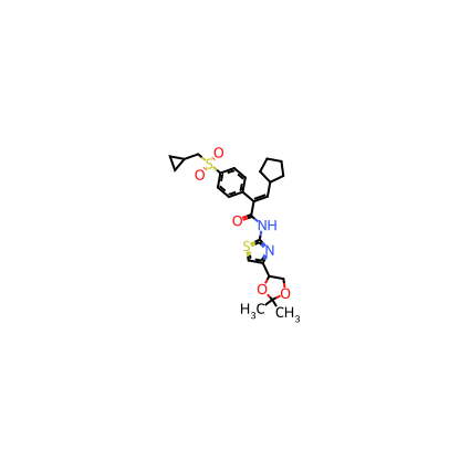 CC1(C)OCC(c2csc(NC(=O)/C(=C/C3CCCC3)c3ccc(S(=O)(=O)CC4CC4)cc3)n2)O1